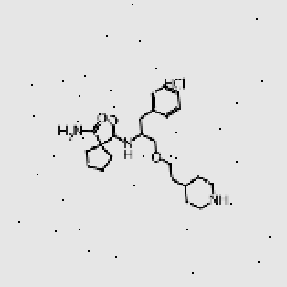 Cl.NC(=O)C1(C(=O)NC(COCCC2CCNCC2)Cc2ccccc2)CCCC1